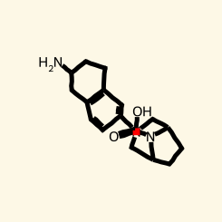 NC1CCc2cc(N3CC4CCC(C3)N4C(=O)O)ccc2C1